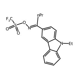 CCCC(=NOS(=O)(=O)C(F)(F)F)c1ccc2c(c1)c1ccccc1n2CC